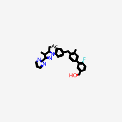 CC(=O)CC1C(C)C(c2ncccn2)=NN1c1ccc(Cc2ccc(-c3cc(CO)ccc3F)cc2C)cc1